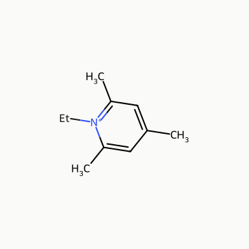 CC[n+]1c(C)cc(C)cc1C